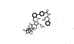 COc1c(CN2O[C@@H](CO)[C@@H]([C@H](C)O)[C@H]2C(=O)N[C@H]2C[C@H]3C[C@@H]([C@@H]2C)C3(C)C)cccc1-c1ccc(C(=O)N(C)[C@@H](Cc2ccccc2)CN(C)C)cc1